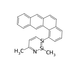 Cc1cc[si](-c2cccc3ccc4cc5ccccc5cc4c23)[si](C)n1